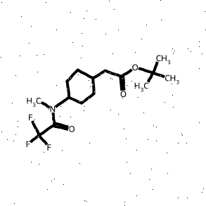 CN(C(=O)C(F)(F)F)C1CCC(CC(=O)OC(C)(C)C)CC1